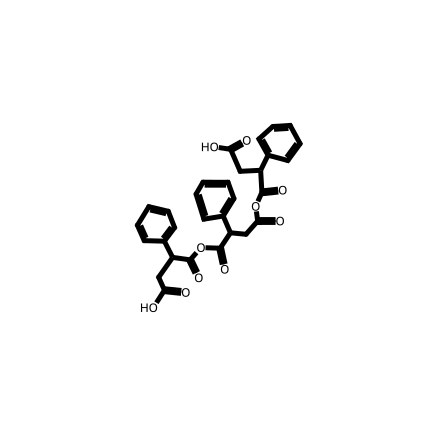 O=C(O)CC(C(=O)OC(=O)CC(C(=O)OC(=O)C(CC(=O)O)c1ccccc1)c1ccccc1)c1ccccc1